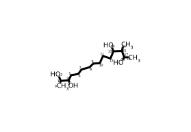 CC(O)C(O)CCCCCCCCC(O)C(C)C(C)O